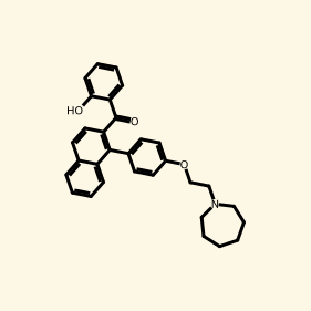 O=C(c1ccccc1O)c1ccc2ccccc2c1-c1ccc(OCCN2CCCCCC2)cc1